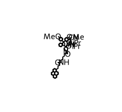 COc1ccc(C(OCC2(COP(OCCC#N)N(C(C)C)C(C)C)CCN(C(=O)CCCCCNC(=O)CCCc3ccc4ccc5cccc6ccc3c4c56)CC2)(c2ccccc2)c2ccc(OC)cc2)cc1